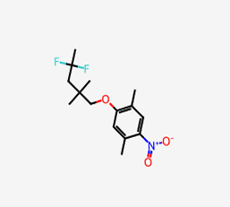 Cc1cc([N+](=O)[O-])c(C)cc1OCC(C)(C)CC(C)(F)F